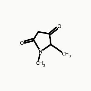 CC1C(=O)CC(=O)N1C